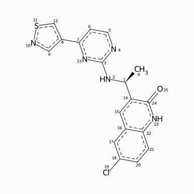 C[C@H](Nc1nccc(-c2cnsc2)n1)c1cc2cc(Cl)ccc2[nH]c1=O